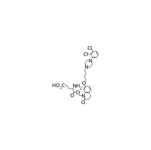 NC(CCC(=O)O)C(=O)OCN1C(=O)CCc2ccc(OCCCCN3CCN(c4cccc(Cl)c4Cl)CC3)cc21